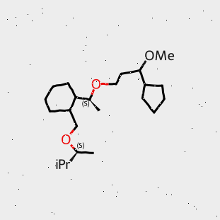 COC(CCO[C@@H](C)C1CCCCC1CO[C@@H](C)C(C)C)C1CCCC1